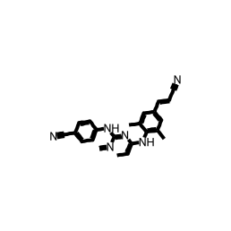 C=N/C(=N\C(=C/C)Nc1c(C)cc(/C=C/C#N)cc1C)Nc1ccc(C#N)cc1